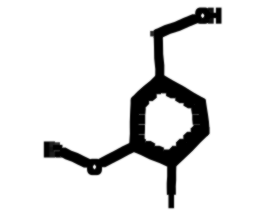 CCOc1cc([CH]O)ccc1I